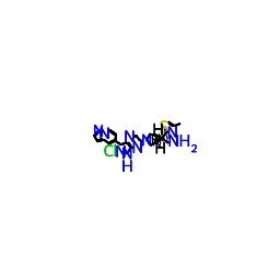 Cc1csc([C@]2(CN)[C@@H]3CN(c4cnc5c(-c6ccn7nccc7c6Cl)n[nH]c5n4)C[C@@H]32)n1